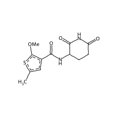 COc1sc(C)cc1C(=O)NC1CCC(=O)NC1=O